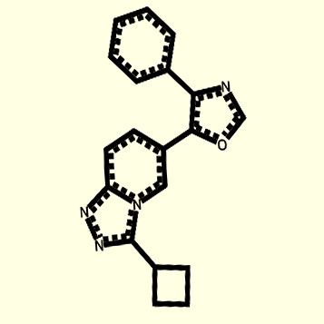 c1ccc(-c2ncoc2-c2ccc3nnc(C4CCC4)n3c2)cc1